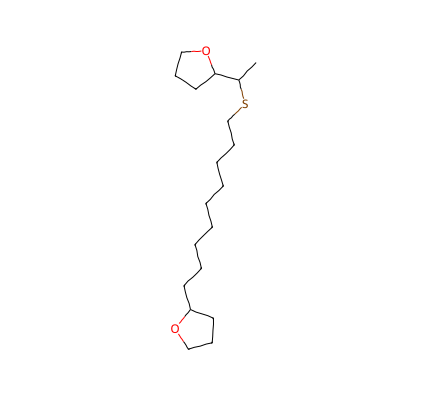 CC(SCCCCCCCCCC1CCCO1)C1CCCO1